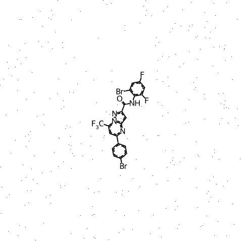 O=C(Nc1c(F)cc(F)cc1Br)c1cc2nc(-c3ccc(Br)cc3)cc(C(F)(F)F)n2n1